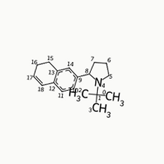 CC(C)(C)N1CCCC1c1ccc2c(c1)CCC=C2